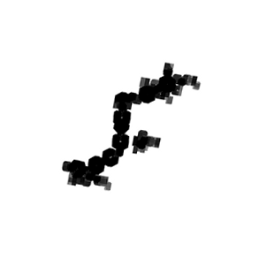 CCOc1c(Cl)cc(C(C)(C)c2ccc(OCc3ccnc(N4CCC5(CC4)CC(N4CCC(CN6CCC(c7ccc8c(c7)n(C)c(=O)n8C7CCC(=O)NC7=O)CC6)CC4)C5)n3)cc2)cc1C#N.O=C(O)C(F)(F)F